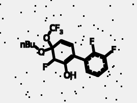 CCCCOC1(OC(F)(F)F)C=CC(c2cccc(F)c2F)=C(O)C1F